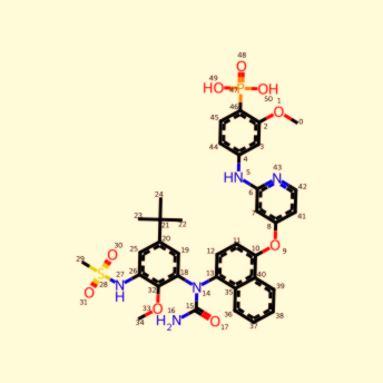 COc1cc(Nc2cc(Oc3ccc(N(C(N)=O)c4cc(C(C)(C)C)cc(NS(C)(=O)=O)c4OC)c4ccccc34)ccn2)ccc1P(=O)(O)O